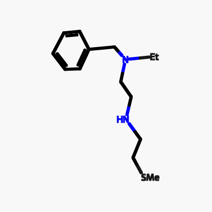 CCN(CCNCCSC)Cc1ccccc1